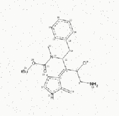 C=c1[nH]cc/c1=C(/C(Cl)CN)C(Cc1ccccc1)N(C)C(=O)OC(C)(C)C